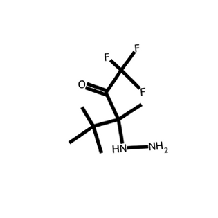 CC(C)(C)C(C)(NN)C(=O)C(F)(F)F